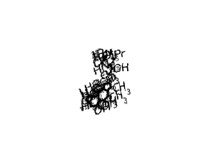 CC1=C2[C@H](C)[C@H](O)[C@@]3(C)[C@H]([C@H](C)[C@]2(C(C)(C)O)C[C@@H]1OC(=O)C(O)[C@H](CC(C)C)NC(=O)OC(C)(C)C)[C@]1(C)CO[C@@H]1C[C@@H]3O